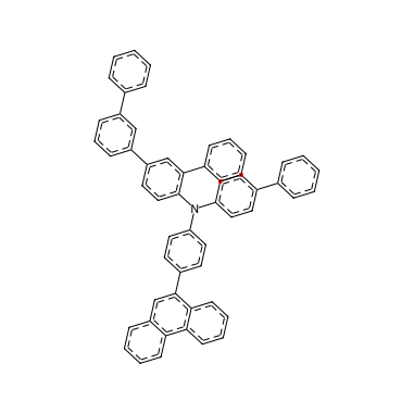 c1ccc(-c2ccc(N(c3ccc(-c4cc5ccccc5c5ccccc45)cc3)c3ccc(-c4cccc(-c5ccccc5)c4)cc3-c3ccccc3)cc2)cc1